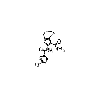 NC(=O)c1c(NC(=O)c2ccc(Cl)s2)sc2c1CCCC2